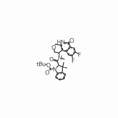 CN(C(=O)C1N(C(=O)OC(C)(C)C)c2ccccc2C1(C)C)C1COCc2[nH]c(=O)c3cc(F)c(F)cc3c21